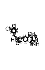 CN(c1ncnc2[nH]ccc12)[C@H]1CC[C@H](CS(=O)(=O)NCCc2ccc(Cl)c(Cl)c2)CC1